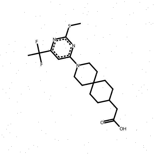 CSc1nc(N2CCC3(CCC(CC(=O)O)CC3)CC2)cc(C(C)(F)F)n1